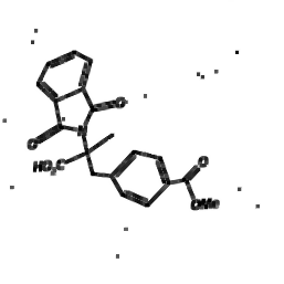 COC(=O)c1ccc(CC(C)(C(=O)O)N2C(=O)c3ccccc3C2=O)cc1